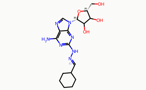 Nc1nc(N/N=C/C2CCCCC2)nc2c1ncn2[C@@H]1O[C@H](CO)C(O)C1O